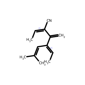 C=C(/C(C#N)=C\C)/C(C=C(C)C)=C/C